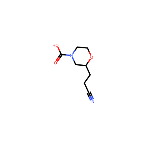 N#CCCC1CN(C(=O)O)CCO1